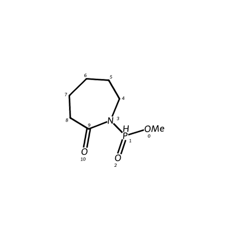 CO[PH](=O)N1CCCCCC1=O